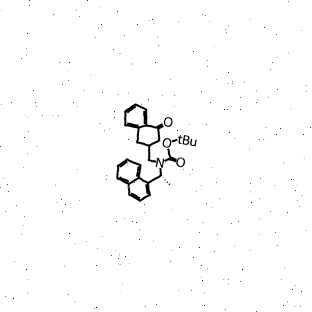 C[C@H](c1cccc2ccccc12)N(CC1CC(=O)c2ccccc2C1)C(=O)OC(C)(C)C